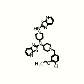 CCOc1cc(CN2CCC(N(c3nc4cccnc4s3)C3CCN(Nc4nc5cccnc5s4)CC3)CC2)ccc1Cl